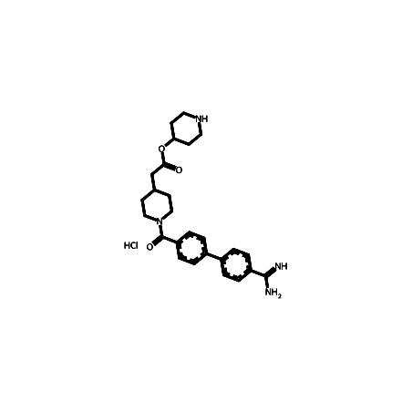 Cl.N=C(N)c1ccc(-c2ccc(C(=O)N3CCC(CC(=O)OC4CCNCC4)CC3)cc2)cc1